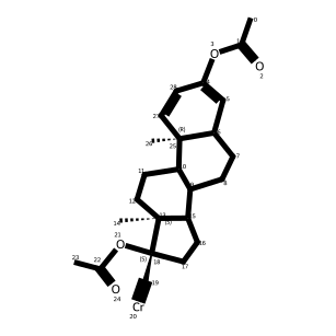 CC(=O)OC1=CC2CCC3C(CC[C@@]4(C)C3CC[C@]4([C]#[Cr])OC(C)=O)[C@@]2(C)C=C1